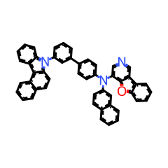 c1cc(-c2ccc(N(c3ccc4ccccc4c3)c3cncc4c3oc3ccccc34)cc2)cc(-n2c3ccccc3c3c4ccccc4ccc32)c1